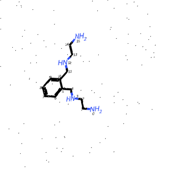 NCCNCc1ccccc1CNCCN